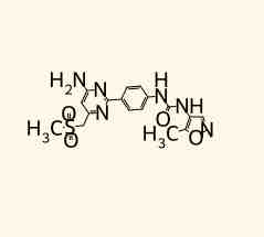 Cc1oncc1NC(=O)Nc1ccc(-c2nc(N)cc(CS(C)(=O)=O)n2)cc1